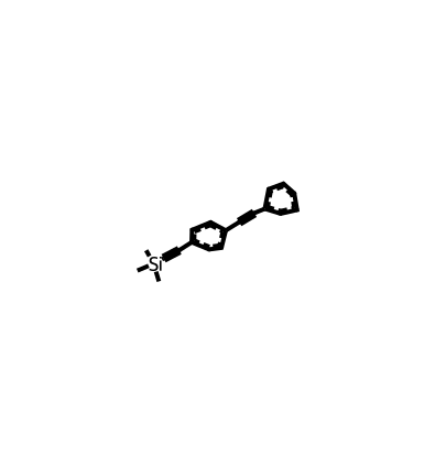 C[Si](C)(C)C#Cc1ccc(C#Cc2ccccc2)cc1